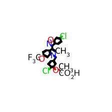 Cc1c(-c2noc3cc(Cl)ccc23)c2ccc(OC(F)(F)F)cc2n1Cc1ccc(Cl)c(O[C@H](C)C(=O)O)c1